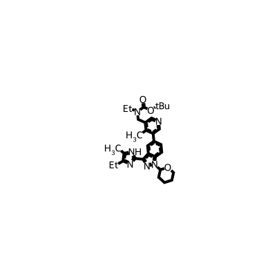 CCc1nc(-c2nn(C3CCCCO3)c3ccc(-c4cncc(CN(CC)C(=O)OC(C)(C)C)c4C)cc23)[nH]c1C